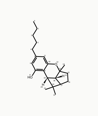 CCCCCc1cc(O)c2c(c1)OC1(C)CCC3[C@@H]1[C@@H]2C3(C)C